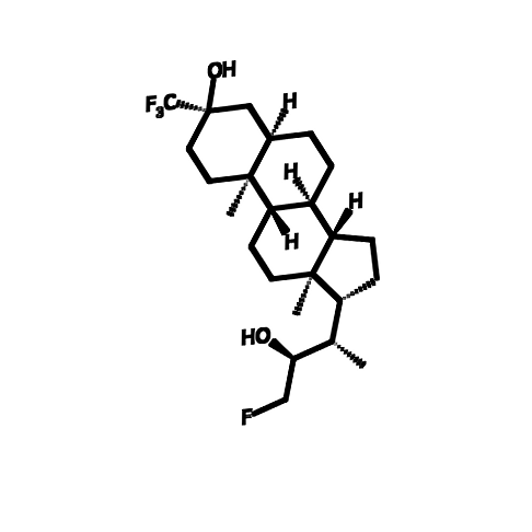 C[C@H]([C@H](O)CF)[C@H]1CC[C@H]2[C@@H]3CC[C@@H]4C[C@@](O)(C(F)(F)F)CC[C@]4(C)[C@H]3CC[C@]12C